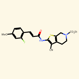 CCOC(=O)N1CCc2c(sc(NC(=O)C=Cc3ccc(OC)cc3F)c2C#N)C1